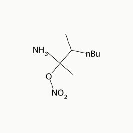 CCCCC(C)C(C)(C)O[N+](=O)[O-].N